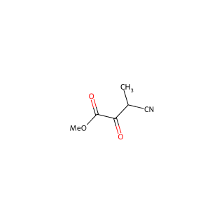 COC(=O)C(=O)C(C)C#N